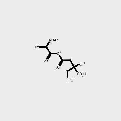 CC(=O)NC(C(=O)OC(=O)CC(O)(CC(=O)O)C(=O)O)C(C)C